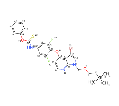 C[Si](C)(C)CCOCn1cc(Br)c2c(Oc3c(F)cc(NC(=S)Oc4ccccc4)cc3F)ccnc21